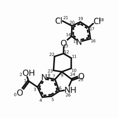 O=C(O)c1ccc2c(n1)C1(CCC(Oc3ncc(Cl)cc3Cl)CC1)C(=O)N2